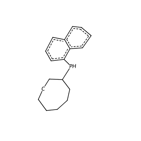 c1ccc2c(PC3CCCCCCC3)cccc2c1